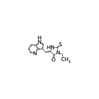 CCN1C(=O)/C(=C/c2c[nH]c3cccnc23)NC1=S